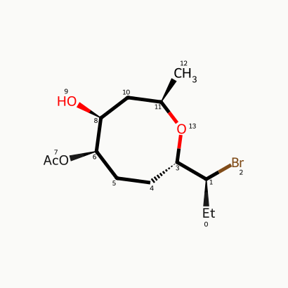 CC[C@H](Br)[C@@H]1CC[C@@H](OC(C)=O)[C@@H](O)C[C@@H](C)O1